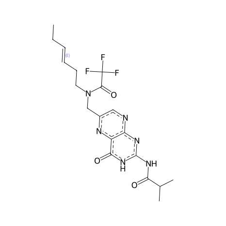 CC/C=C/CCN(Cc1cnc2nc(NC(=O)C(C)C)[nH]c(=O)c2n1)C(=O)C(F)(F)F